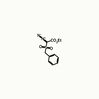 CCOC(=O)C(=[N+]=[N-])S(=O)(=O)Cc1ccccc1